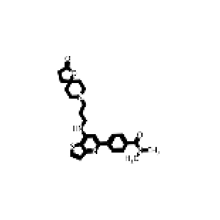 CN(C)C(=O)c1ccc(-c2cc(NCCCN3CCC4(CCC(=O)O4)CC3)c3sccc3n2)cc1